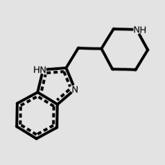 c1ccc2[nH]c(CC3CCCNC3)nc2c1